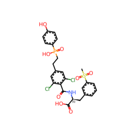 CS(=O)(=O)c1cccc(C[C@H](NC(=O)c2c(Cl)cc(CCP(=O)(O)c3ccc(O)cc3)cc2Cl)C(=O)O)c1